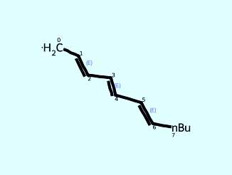 [CH2]/C=C/C=C/C=C/CCCC